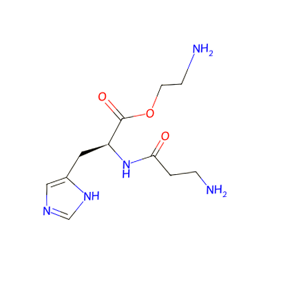 NCCOC(=O)[C@H](Cc1cnc[nH]1)NC(=O)CCN